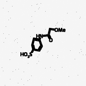 COCC(=O)Nc1ccc(S(=O)(=O)O)cc1